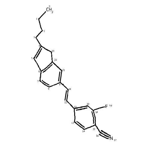 CCCCC1=Cc2ccc(/C=C/c3ccc(C#N)c(F)c3)cc2C1